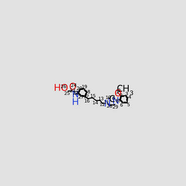 COc1ccccc1N1CCN(CCCCCc2cccc(NC(=O)CO)c2)CC1